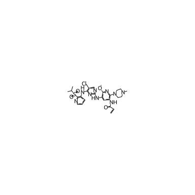 C=CC(=O)Nc1cc(Nc2ncc(Cl)c(Nc3cccnc3S(=O)(=O)C(C)C)n2)c(OC)nc1N1CCN(C)CC1